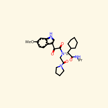 COc1ccc2c(C(=O)C(=O)N(CC(=O)N3CCCC3)[C@@H](C(=O)NC(C)C)C3CCCCC3)c[nH]c2c1